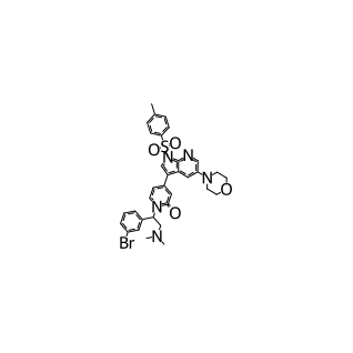 Cc1ccc(S(=O)(=O)n2cc(-c3ccn(C(CN(C)C)c4cccc(Br)c4)c(=O)c3)c3cc(N4CCOCC4)cnc32)cc1